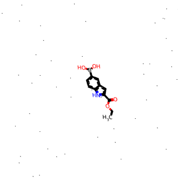 CCOC(=O)c1cc2cc(B(O)O)ccc2[nH]1